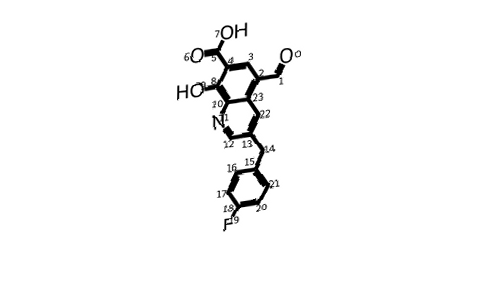 O=Cc1cc(C(=O)O)c(O)c2ncc(Cc3ccc(F)cc3)cc12